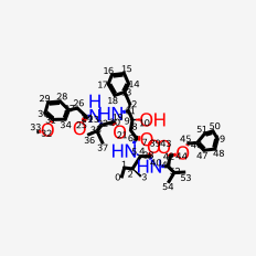 CC[C@H](C)[C@H](NC(=O)C[C@H](O)[C@H](Cc1ccccc1)NC(=O)C(NC(=O)Cc1cccc(OC)c1)C(C)C)C(=O)NC(C(=O)OCc1ccccc1)C(C)C